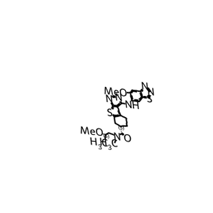 COc1cc2nnsc2cc1Nc1ncnc2sc3c(c12)CC[C@H](C(=O)N(C)C[C@H](C)OC)C3